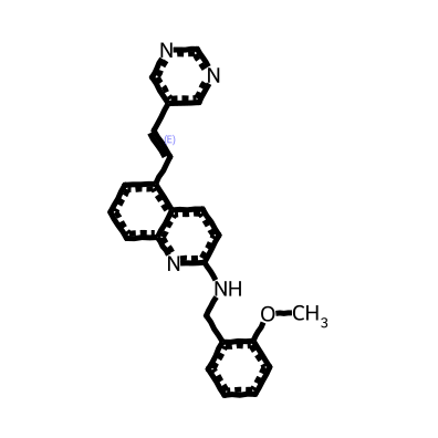 COc1ccccc1CNc1ccc2c(/C=C/c3cncnc3)cccc2n1